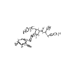 O=C(O)c1cc(NCC(O)CS(=O)(=O)O)ccc1N=Nc1ncc(Br)cc1Br